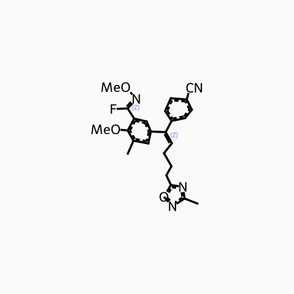 CO/N=C(\F)c1cc(/C(=C\CCCc2nc(C)no2)c2ccc(C#N)cc2)cc(C)c1OC